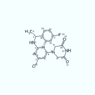 CC(Nc1nc(Cl)cc(N2CC(=O)NC(=O)C2)n1)c1ccc(F)cc1